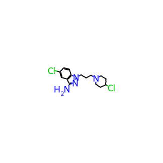 Nc1nn(CCCN2CCC(Cl)CC2)c2ccc(Cl)cc12